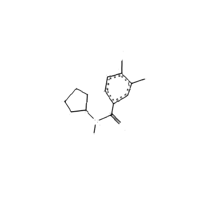 Cc1cc(C(=O)N(C)C2CCCC2)ccc1O